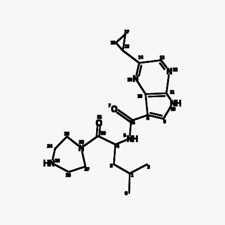 CC(C)CC(NC(=O)c1c[nH]c2ncc(C3CC3)nc12)C(=O)N1CCNCC1